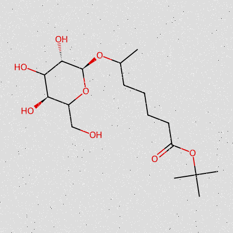 CC(CCCCC(=O)OC(C)(C)C)O[C@H]1OC(CO)[C@@H](O)C(O)[C@@H]1O